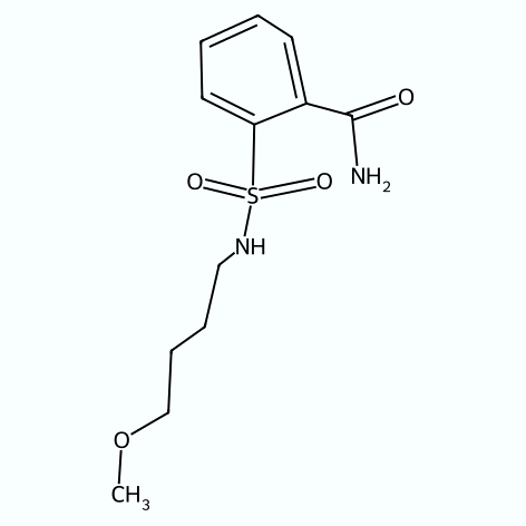 COCCCCNS(=O)(=O)c1ccccc1C(N)=O